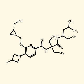 CCC(CC)(NC(=O)c1ccc(N2CC(F)C2)c(OC[C@H]2C[C@@H]2CO)n1)C(=O)NC(CO)CC(C)C